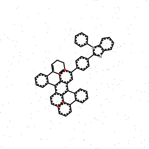 C1=CC(c2ccccc2-c2c3ccccc3c(-c3ccccc3-c3ccccc3)c3cc(-c4ccc(-c5nc6ccccc6n5-c5ccccc5)cc4)ccc23)=CCC1